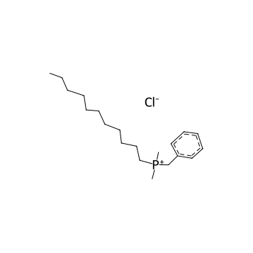 CCCCCCCCCCC[P+](C)(C)Cc1ccccc1.[Cl-]